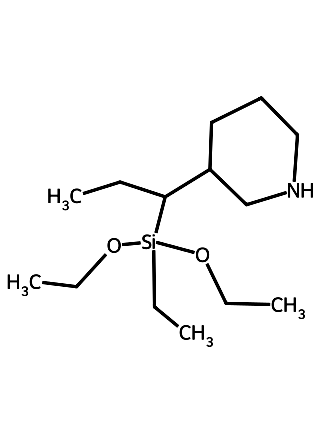 CCO[Si](CC)(OCC)C(CC)C1CCCNC1